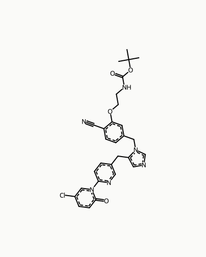 CC(C)(C)OC(=O)NCCOc1cc(Cn2cncc2Cc2ccc(-n3cc(Cl)ccc3=O)nc2)ccc1C#N